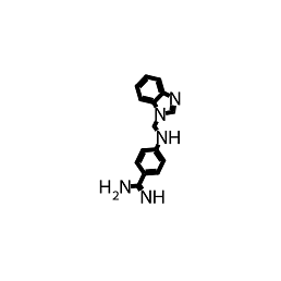 N=C(N)c1ccc(NCn2cnc3ccccc32)cc1